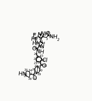 NC(=O)Cc1[nH]nc(C(F)(F)F)c1-c1cnc(C(=O)NCc2ccc(C(=O)N3CCN(C(=O)C4CCNCC4)CC3)c(Cl)c2)[nH]1